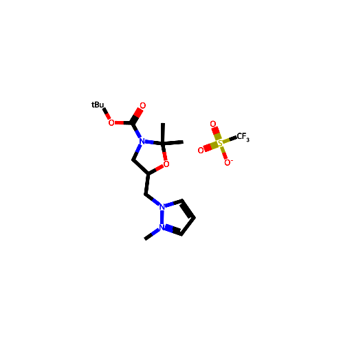 C[n+]1cccn1CC1CN(C(=O)OC(C)(C)C)C(C)(C)O1.O=S(=O)([O-])C(F)(F)F